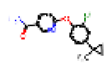 NC(=O)c1ccc(Oc2ccc(C3(C(F)(F)F)CC3)cc2Cl)nc1